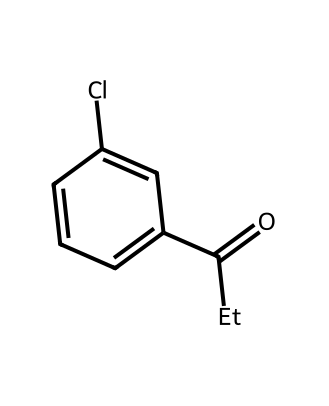 [CH2]CC(=O)c1cccc(Cl)c1